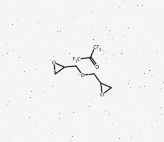 C(OCC1CO1)C1CO1.O=C(C(F)(F)F)C(F)(F)F